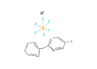 F[P-](F)(F)(F)(F)F.Ic1ccc(-c2ccccc2)cc1.[H+]